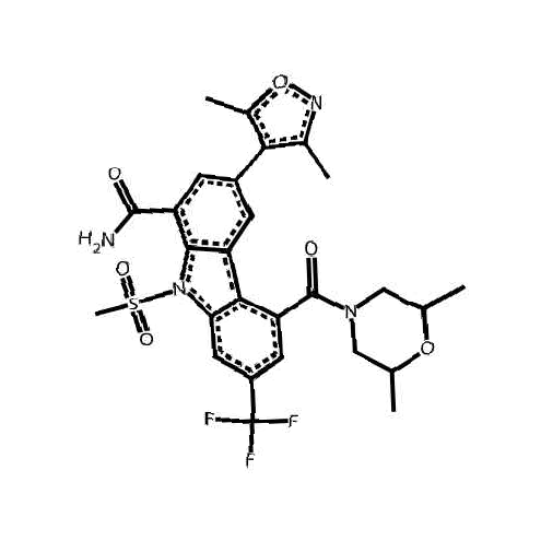 Cc1noc(C)c1-c1cc(C(N)=O)c2c(c1)c1c(C(=O)N3CC(C)OC(C)C3)cc(C(F)(F)F)cc1n2S(C)(=O)=O